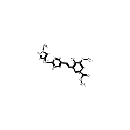 COC(=O)c1cc(C=Cc2cnc(Nc3cnn(C)c3)nc2)c(Cl)c(OC)c1